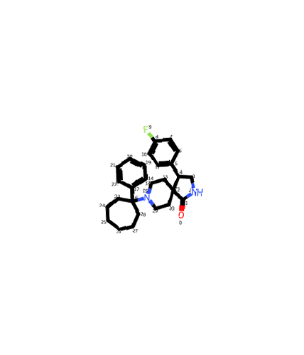 O=C1NCC(c2ccc(F)cc2)C12CCN(C1(c3ccccc3)CCCCCC1)CC2